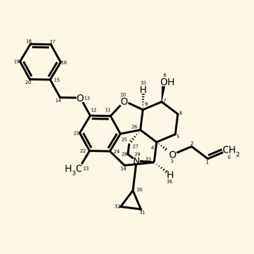 C=CCO[C@@]12CC[C@H](O)[C@@H]3Oc4c(OCc5ccccc5)cc(C)c5c4[C@@]31CCN(C1CC1)[C@@H]2C5